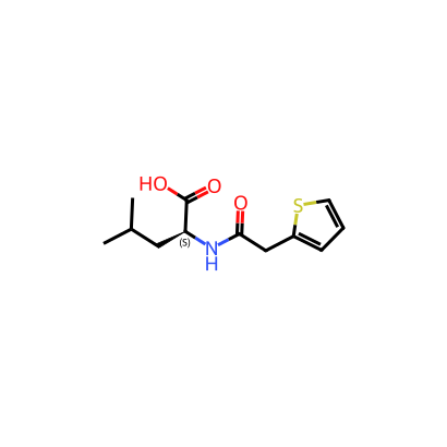 CC(C)C[C@H](NC(=O)Cc1cccs1)C(=O)O